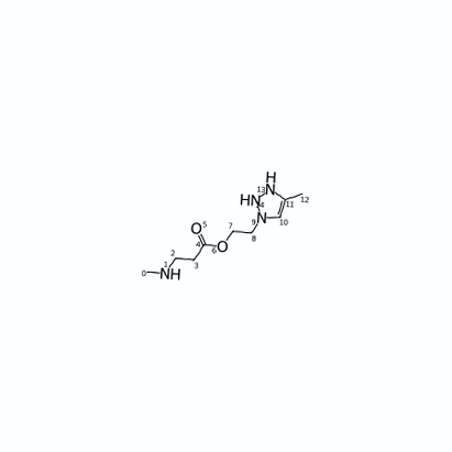 CNCCC(=O)OCCN1C=C(C)NN1